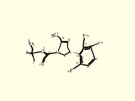 CCC(C)(C)OC(=O)N1C[C@@H](c2c(F)ccc(F)c2F)CC1C#N